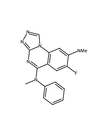 CNc1cc2c(cc1F)c(N(C)c1ccccc1)nc1nncn12